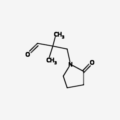 CC(C)(C=O)CN1CCCC1=O